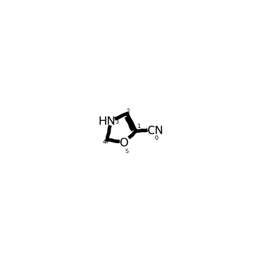 N#CC1=CN[CH]O1